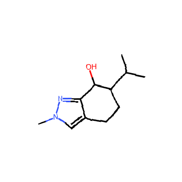 CC(C)C1CCc2cn(C)nc2C1O